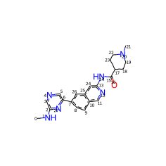 CNc1cncc(-c2ccc3cnc(NC(=O)C4CCN(C)CC4)cc3c2)n1